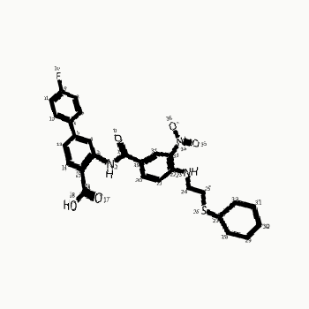 O=C(Nc1cc(-c2ccc(F)cc2)ccc1C(=O)O)c1ccc(NCCSC2CCCCC2)c([N+](=O)[O-])c1